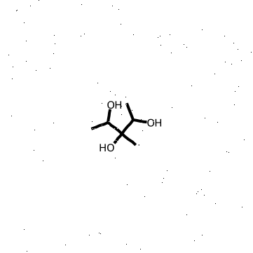 [CH2]C(O)(C(C)O)C(C)O